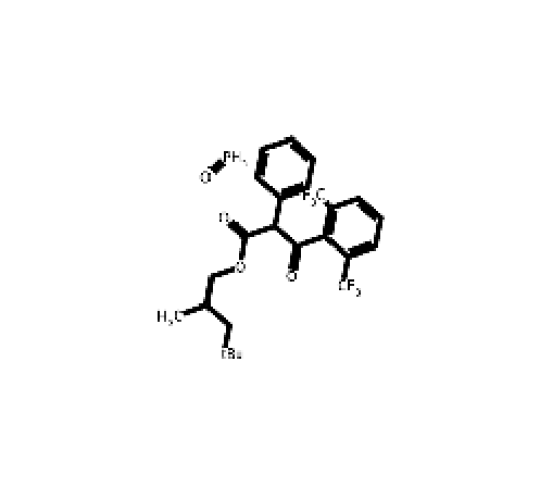 CC(COC(=O)C(C(=O)c1c(C(F)(F)F)cccc1C(F)(F)F)c1ccccc1)CC(C)(C)C.O=[PH3]